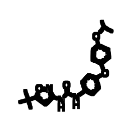 CC(C)Oc1ccc(Oc2ccc(NC(=O)Nc3cc(C(C)(C)C)on3)cc2)cc1